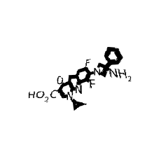 NC1(c2ccccc2)CN(c2c(F)cc3cc4c(=O)c(C(=O)O)cn(C5CC5)c4nc3c2F)C1